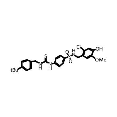 COc1cc(CNS(=O)(=O)c2ccc(NC(=S)NCc3ccc(C(C)(C)C)cc3)cc2)c(Cl)cc1O